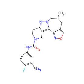 CC1Cc2conc2-c2c3c(nn2C1)CCN(C(=O)Nc1ccc(F)c(C#N)c1)C3